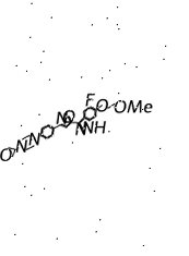 COCCOc1cc2[nH]nc(-c3cc(-c4ccc(N5CCN(C6COC6)CC5)cc4)no3)c2cc1F